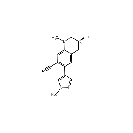 C[C@H]1Cc2cc(-c3cnn(C)c3)c(C#N)cc2N(C)C1